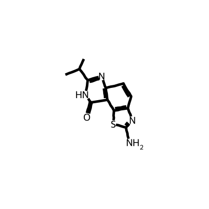 CC(C)c1nc2ccc3nc(N)sc3c2c(=O)[nH]1